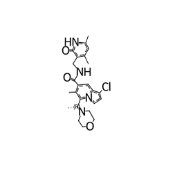 Cc1cc(C)c(CNC(=O)c2cc3c(Cl)ccn3c([C@@H](C)N3CCOCC3)c2C)c(=O)[nH]1